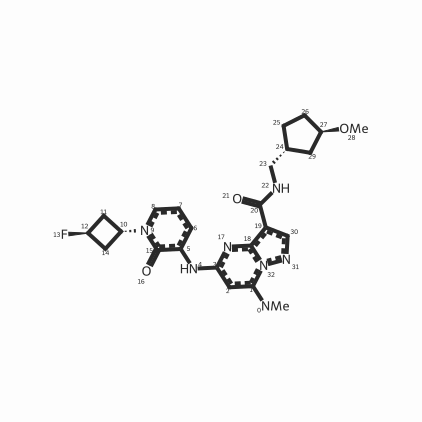 CNc1cc(Nc2cccn([C@H]3C[C@H](F)C3)c2=O)nc2c(C(=O)NC[C@@H]3CC[C@@H](OC)C3)cnn12